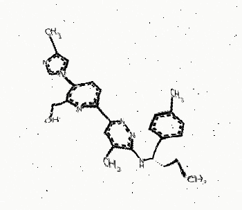 CCC[C@H](Nc1nnc(-c2ccc(-n3cnc(C)c3)c(CO)n2)cc1C)c1ccc(C)cc1